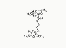 COC(C)(NCCCCC(C)(C)O[SiH3])OC